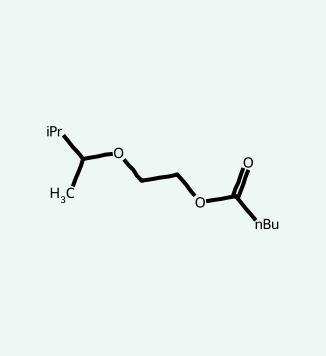 CCCCC(=O)OCCOC(C)C(C)C